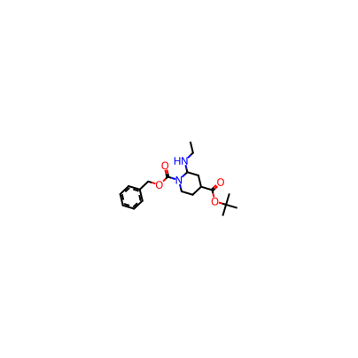 CCNC1CC(C(=O)OC(C)(C)C)CCN1C(=O)OCc1ccccc1